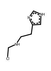 ClCNCCc1c[nH]cn1